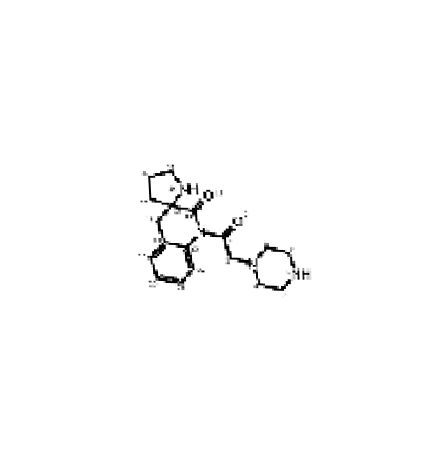 O=C(CN1CCNCC1)N1C(=O)C2(CCCN2)Cc2ccccc21